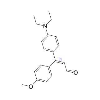 CCN(CC)c1ccc(/C(=C/C=O)c2ccc(OC)cc2)cc1